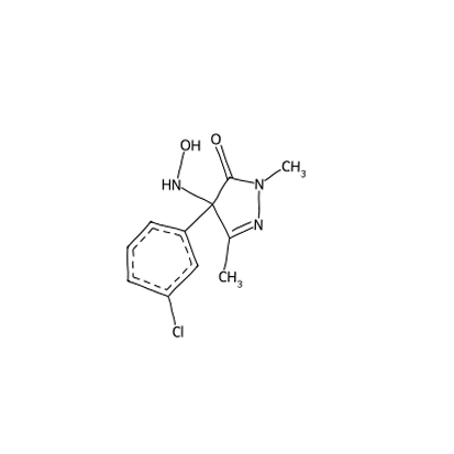 CC1=NN(C)C(=O)C1(NO)c1cccc(Cl)c1